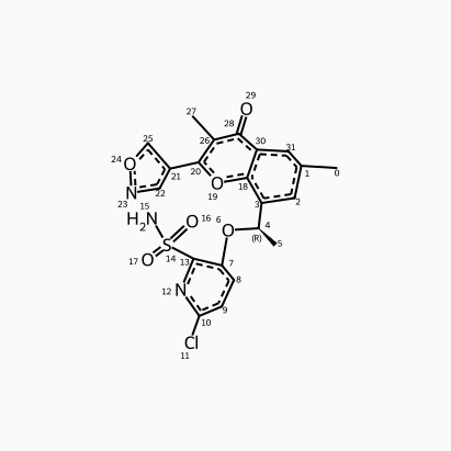 Cc1cc([C@@H](C)Oc2ccc(Cl)nc2S(N)(=O)=O)c2oc(-c3cnoc3)c(C)c(=O)c2c1